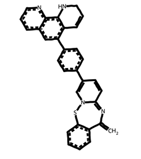 C=C1N=C2C=CC(c3ccc(-c4cc5cccnc5c5c4C=CCN5)cc3)=CN2Sc2ccccc21